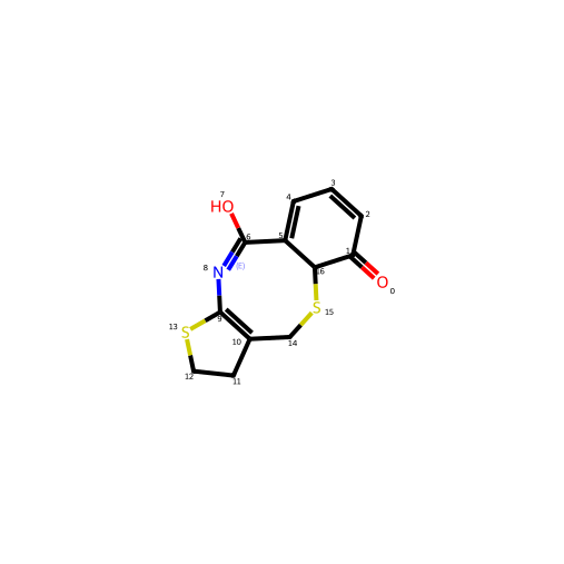 O=C1C=CC=C2/C(O)=N\C3=C(CCS3)CSC12